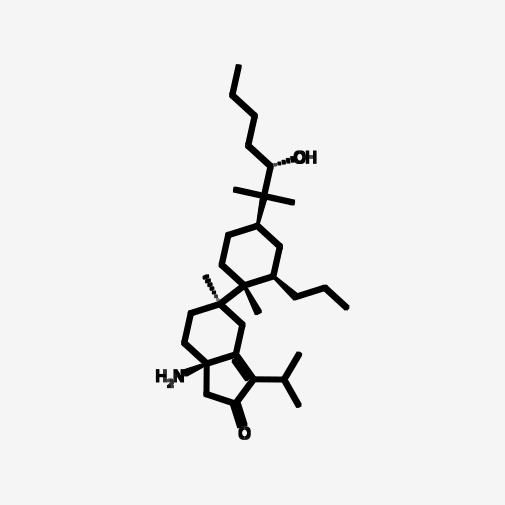 CCCC[C@H](O)C(C)(C)[C@@H]1CC[C@@](C)([C@]2(C)CC[C@@]3(N)CC(=O)C(C(C)C)=C3C2)[C@H](CCC)C1